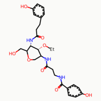 CCO[C@@H]1C(NC(=O)CCNC(=O)c2ccc(O)cc2)COC(CO)[C@@H]1NC(=O)CCc1cccc(O)c1